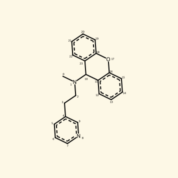 CN(CCc1cccnc1)C1c2ccccc2Oc2ccccc21